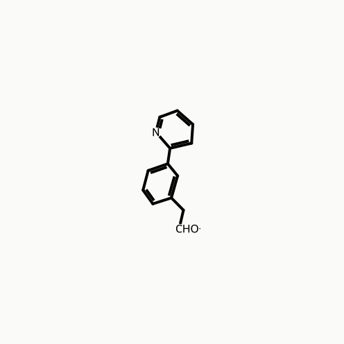 O=[C]Cc1cccc(-c2ccccn2)c1